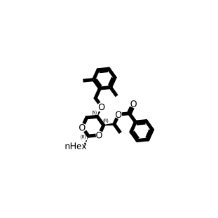 CCCCCC[C@@H]1OC[C@H](OCc2c(C)cccc2C)[C@@H](C(C)OC(=O)c2ccccc2)O1